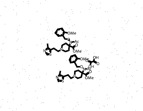 COC(=O)C1(N(OCc2ccccc2OC)C(C)=O)CCN(CCc2scnc2C)CC1.COC(=O)C1(N(OCc2ccccc2OC)C(C)=O)CCN(CCc2scnc2C)CC1.O=C(O)C(=O)O